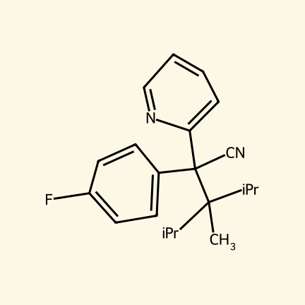 CC(C)C(C)(C(C)C)C(C#N)(c1ccc(F)cc1)c1ccccn1